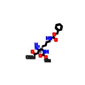 COC(=O)C[C@@H](N)[C@H](CCCCNC(=O)OCc1ccccc1)NC(=O)OC(C)(C)C